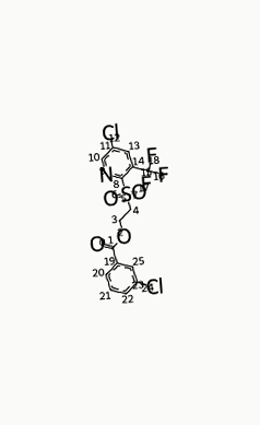 O=C(OCCS(=O)(=O)c1ncc(Cl)cc1C(F)(F)F)c1cccc(Cl)c1